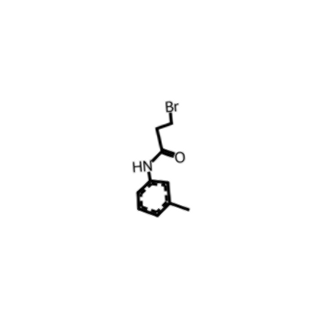 Cc1cccc(NC(=O)CCBr)c1